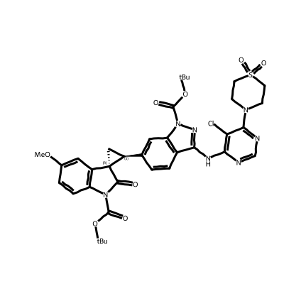 COc1ccc2c(c1)[C@]1(C[C@H]1c1ccc3c(Nc4ncnc(N5CCS(=O)(=O)CC5)c4Cl)nn(C(=O)OC(C)(C)C)c3c1)C(=O)N2C(=O)OC(C)(C)C